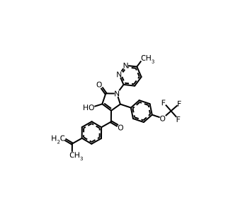 C=C(C)c1ccc(C(=O)C2=C(O)C(=O)N(c3ccc(C)nn3)C2c2ccc(OC(F)(F)F)cc2)cc1